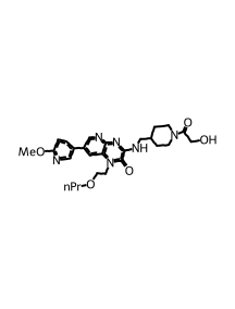 CCCOCCn1c(=O)c(NCC2CCN(C(=O)CO)CC2)nc2ncc(-c3ccc(OC)nc3)cc21